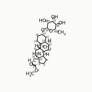 COC(=O)[C@H]1CC[C@]2(N)[C@@H]3CC[C@@H]4C[C@@H](O[C@@H]5O[C@@H](C)[C@H](O)[C@@H](O)[C@H]5O)CC[C@]4(C)[C@H]3CC[C@]12C